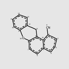 N#Cc1cccc2ccc3c(c12)Cc1ccccc1O3